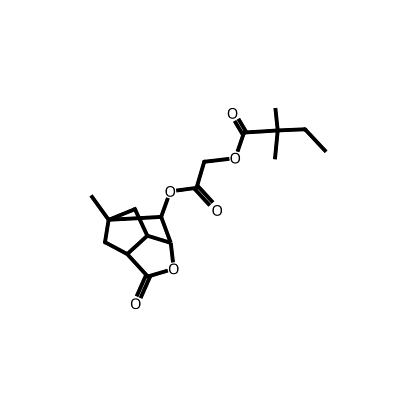 CCC(C)(C)C(=O)OCC(=O)OC1C2OC(=O)C3CC1(C)CC32